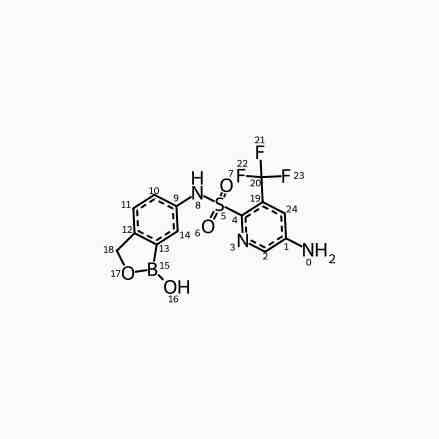 Nc1cnc(S(=O)(=O)Nc2ccc3c(c2)B(O)OC3)c(C(F)(F)F)c1